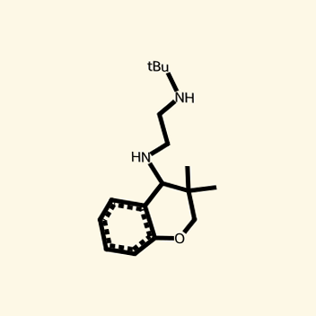 CC(C)(C)NCCNC1c2ccccc2OCC1(C)C